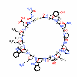 CCCC[C@H]1C(=O)N(C)[C@@H](CCCC)C(=O)N[C@@H](CCC(=O)O)C(=O)N[C@H](C(=O)NCC(N)=O)CSCC(=O)N[C@@H](Cc2ccc(O)cc2)C(=O)N[C@H](C)C(=O)N[C@@H](CC(N)=O)C(=O)N2CCC[C@H]2C(=O)N[C@@H](Cc2cnc[nH]2)C(=O)N[C@@H](CC(C)C)C(=O)N2C[C@H](O)C[C@H]2C(=O)N[C@@H](Cc2c[nH]c3ccccc23)C(=O)N[C@@H](CCCCN)C(=O)N[C@@H](Cc2c[nH]c3ccccc23)C(=O)N1C